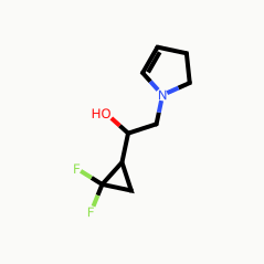 OC(CN1C=CCC1)C1CC1(F)F